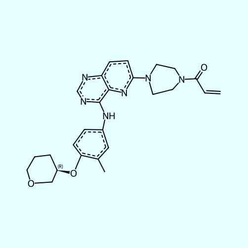 C=CC(=O)N1CCN(c2ccc3ncnc(Nc4ccc(O[C@@H]5CCCOC5)c(C)c4)c3n2)CC1